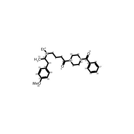 CCN(CCCC(=O)N1CCN(C(=O)c2ccccc2)CC1)C(C)Cc1ccc(OC)cc1